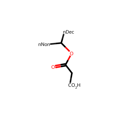 CCCCCCCCCCC(CCCCCCCCC)OC(=O)CC(=O)O